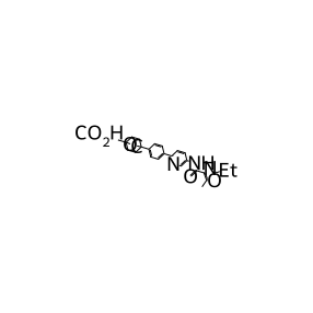 CCc1nc(C(=O)Nc2ccc(-c3ccc(C45CCC(CC(=O)O)(CC4)OC5)cc3)nc2)c(C)o1